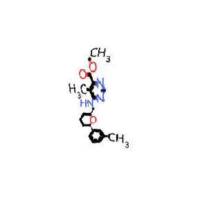 CCOC(=O)c1ncnc(NC[C@@H]2CCC[C@H](c3cccc(C)c3)O2)c1C